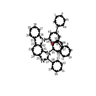 c1ccc(-c2cc(-c3ccccc3)nc(-n3c4ccccc4c4ccc5nc(-c6ccccc6)n(-c6ccccc6)c5c43)c2)cc1